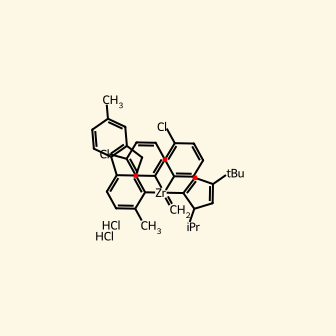 Cl.Cl.[CH2]=[Zr]([C]1=CC(C(C)(C)C)=CC1C(C)C)([c]1cccc(Cl)c1)([c]1cccc(Cl)c1)[c]1c(C)ccc2c1Cc1cc(C)ccc1-2